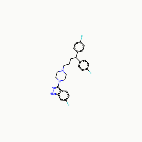 Fc1ccc(C(CCCN2CCN(c3n[nH]c4cc(F)ccc34)CC2)c2ccc(F)cc2)cc1